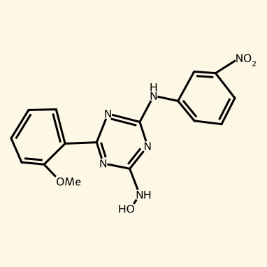 COc1ccccc1-c1nc(NO)nc(Nc2cccc([N+](=O)[O-])c2)n1